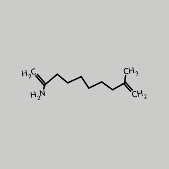 C=C(C)CCCCCCC(=C)N